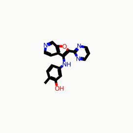 Cc1ccc(Nc2c(-c3ncccn3)oc3cnccc23)cc1O